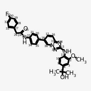 COc1cc(C(C)(C)O)ccc1Nc1nc2ccc(-c3ccc(NC(=O)Cc4ccc(F)cc4)cc3)cn2n1